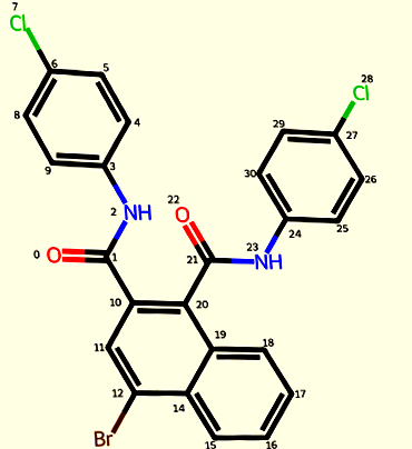 O=C(Nc1ccc(Cl)cc1)c1cc(Br)c2ccccc2c1C(=O)Nc1ccc(Cl)cc1